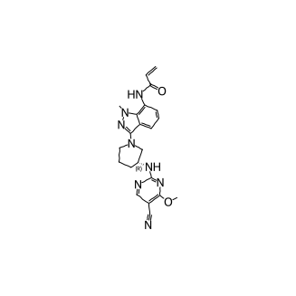 C=CC(=O)Nc1cccc2c(N3CCC[C@@H](Nc4ncc(C#N)c(OC)n4)C3)nn(C)c12